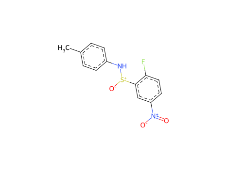 Cc1ccc(N[S+]([O-])c2cc([N+](=O)[O-])ccc2F)cc1